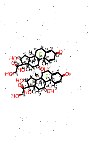 C[C@]12C=CC(=O)C=C1CC[C@H]1[C@@H]3C[C@@H](O)[C@](O)(C(=O)CO)[C@@]3(C)C[C@@H](O)[C@@]12F.C[C@]12C=CC(=O)C=C1CC[C@H]1[C@@H]3C[C@@H](O)[C@](O)(C(=O)CO)[C@@]3(C)C[C@H](O)[C@@]12F